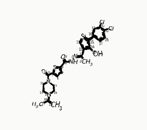 C/C(=N\NC(=O)c1ccc(C(=O)N2CCN(C(C)C)CC2)s1)c1csc(-c2ccc(Cl)c(Cl)c2)c1O